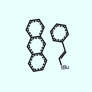 CC(C)(C)C=Cc1ccccc1.c1ccc2cc3ccccc3cc2c1